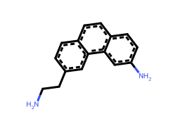 NCCc1ccc2ccc3ccc(N)cc3c2c1